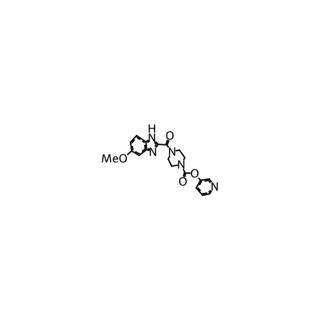 COc1ccc2[nH]c(C(=O)N3CCN(C(=O)Oc4cccnc4)CC3)nc2c1